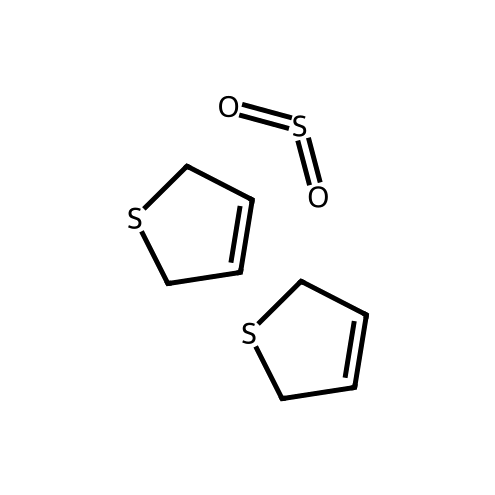 C1=CCSC1.C1=CCSC1.O=S=O